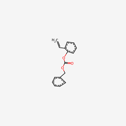 C=Cc1ccccc1OC(=O)OCc1ccccc1